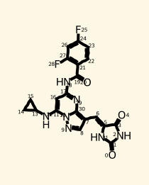 O=C1NC(=O)/C(=C/c2cnn3c(NC4CC4)cc(NC(=O)c4ccc(F)cc4F)nc23)N1